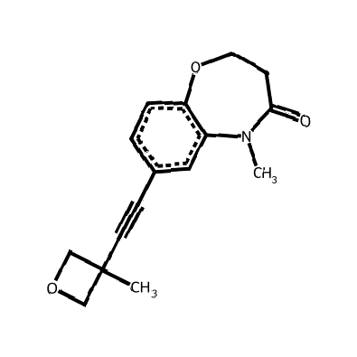 CN1C(=O)CCOc2ccc(C#CC3(C)COC3)cc21